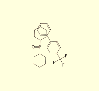 O=P(c1cc(C(F)(F)F)ccc1-c1ccccc1)(C1CCCCC1)C1CCCCC1